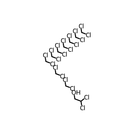 ClCCl.ClCCl.ClCCl.ClCCl.ClCCl.ClCCl.ClCCl.ClCCl.ClCCl.OCC(Cl)Cl